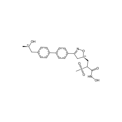 C[C@@H](O)Cc1ccc(-c2ccc(C3=NO[C@@H](CC(C(=O)NO)S(C)(=O)=O)C3)cc2)cc1